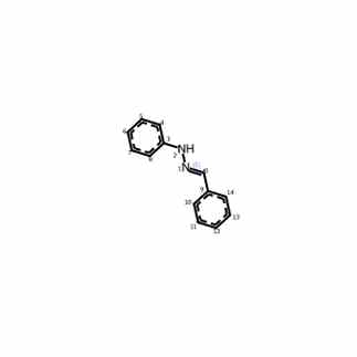 [C](=N\Nc1ccccc1)/c1ccccc1